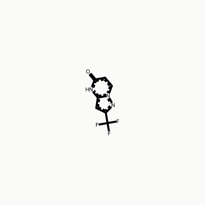 O=c1ccn2nc(C(F)(F)F)cc2[nH]1